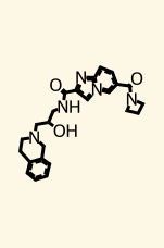 O=C(NCC(O)CN1CCc2ccccc2C1)c1cn2cc(C(=O)N3CCC3)ccc2n1